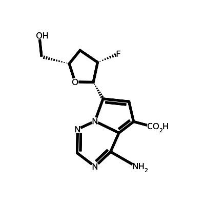 Nc1ncnn2c([C@@H]3O[C@H](CO)C[C@@H]3F)cc(C(=O)O)c12